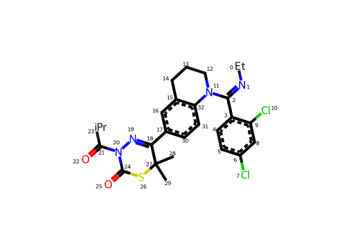 CC/N=C(/c1ccc(Cl)cc1Cl)N1CCCc2cc(C3=NN(C(=O)C(C)C)C(=O)SC3(C)C)ccc21